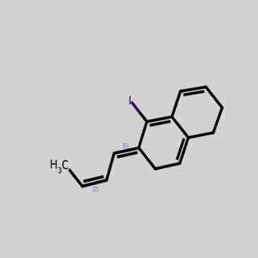 C/C=C\C=C1/CC=C2CCC=CC2=C1I